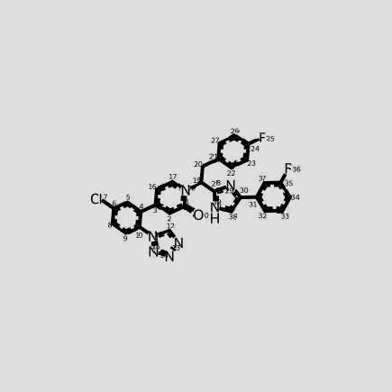 O=c1cc(-c2cc(Cl)ccc2-n2cnnn2)ccn1C(Cc1ccc(F)cc1)c1nc(-c2cccc(F)c2)c[nH]1